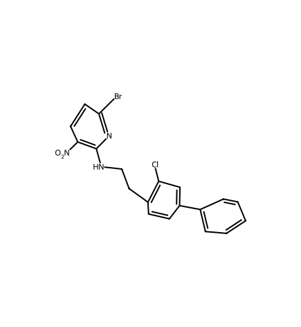 O=[N+]([O-])c1ccc(Br)nc1NCCc1ccc(-c2ccccc2)cc1Cl